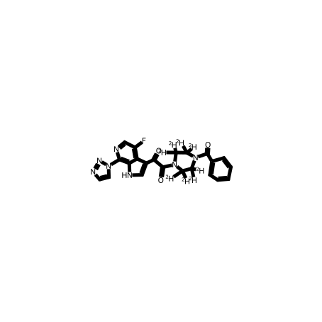 [2H]C1([2H])N(C(=O)C(=O)c2c[nH]c3c(-n4ccnn4)ncc(F)c23)C([2H])([2H])C([2H])([2H])N(C(=O)c2ccccc2)C1([2H])[2H]